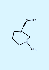 [CH2-][NH+]1CCC[C@@H](OC(C)C)C1